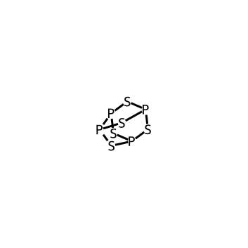 S1p2sp3sp1sp3s2